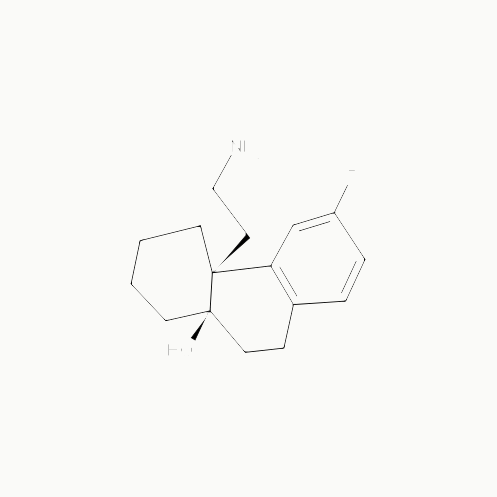 NCC[C@]12CCCC[C@@]1(O)CCc1ccc(F)cc12